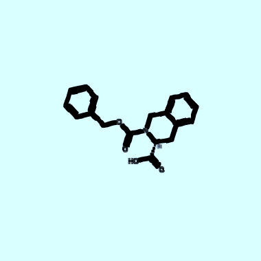 O=C(O)[C@H]1Cc2ccccc2CN1C(=O)OCc1ccccc1